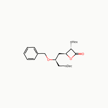 CCCCCCCCCCC[C@H](C[C@@H]1OC(=O)[C@H]1CCCCCC)OCc1ccccc1